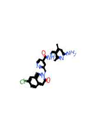 Cc1cc(N)nc(C)c1CNC(=O)c1ccnc(Cn2cc3cc(Cl)ccc3cc2=O)c1